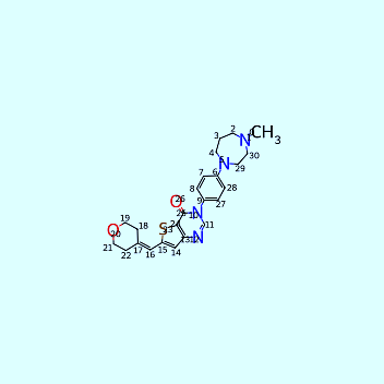 CN1CCCN(c2ccc(-n3cnc4cc(C=C5CCOCC5)sc4c3=O)cc2)CC1